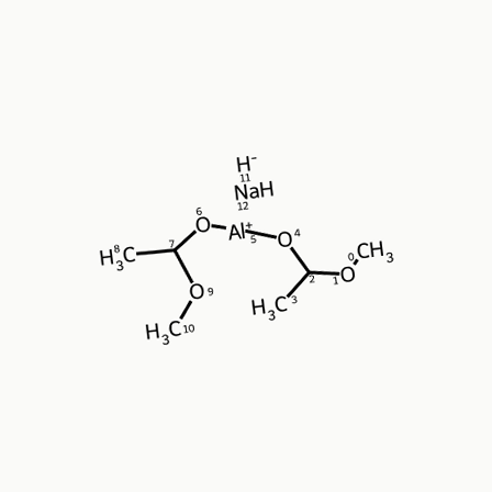 COC(C)[O][Al+][O]C(C)OC.[H-].[NaH]